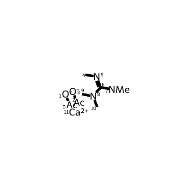 CC(=O)[O-].CC(=O)[O-].CN=C(NC)N(C)C.[Ca+2]